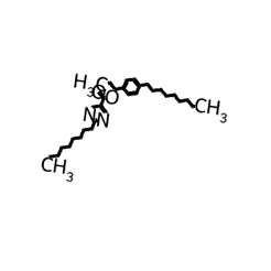 CCCCCCCCCc1ccc(C(CC)OC(=O)c2cnc(CCCCCCCCC)nc2)cc1